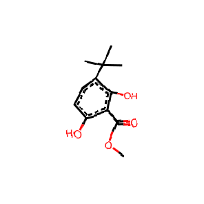 COC(=O)c1c(O)ccc(C(C)(C)C)c1O